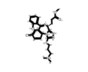 COC(=O)CC[C@@H]1N=C(c2ccccc2Cl)c2cc(Cl)ccc2-n2c(SCCCN(C)C)nnc21